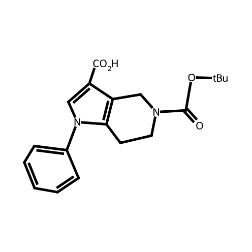 CC(C)(C)OC(=O)N1CCc2c(c(C(=O)O)cn2-c2ccccc2)C1